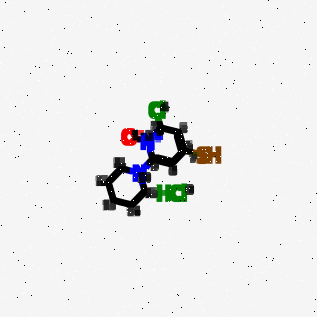 Cl.[O-][n+]1c(Cl)cc(S)cc1N1CCCCC1